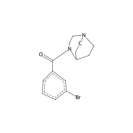 O=C(c1cccc(Br)c1)N1CCN2CCC1CC2